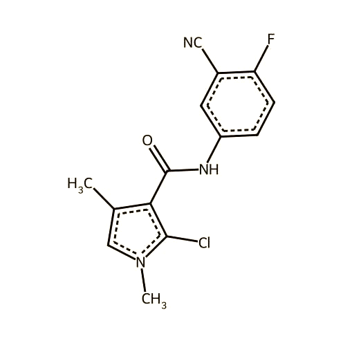 Cc1cn(C)c(Cl)c1C(=O)Nc1ccc(F)c(C#N)c1